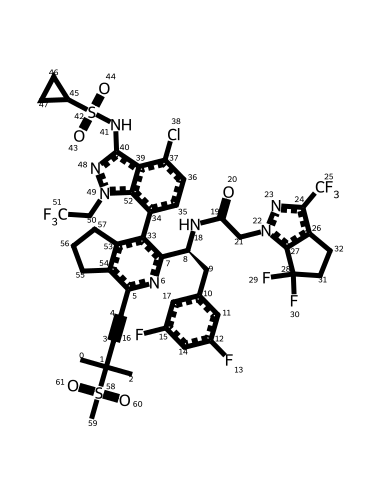 CC(C)(C#Cc1nc([C@H](Cc2cc(F)cc(F)c2)NC(=O)Cn2nc(C(F)(F)F)c3c2C(F)(F)CC3)c(-c2ccc(Cl)c3c(NS(=O)(=O)C4CC4)nn(CC(F)(F)F)c23)c2c1CCC2)S(C)(=O)=O